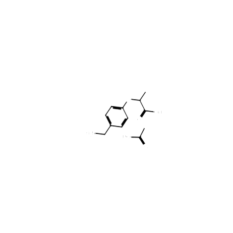 CC(=O)O.CC(Oc1ccc(CN)cc1)C(=O)O